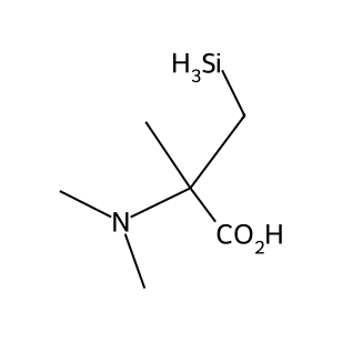 CN(C)C(C)(C[SiH3])C(=O)O